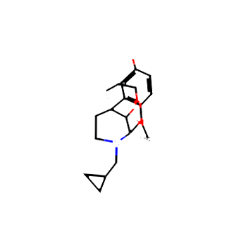 CC[C@@]12OCCC[C@@]13CCN(CC1CC1)[C@@H]2Cc1ccc(O)cc13